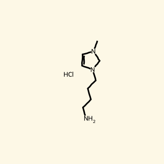 CN1C=CN(CCCCN)C1.Cl